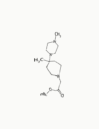 CCCCOC(=O)CN1CCC(C)(N2CCN(C)CC2)CC1